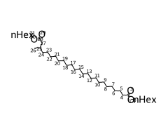 CCCCCCOC(=O)CCCCCCCCCCCCCCCCCCCCCC(C)CC(=O)OCCCCCC